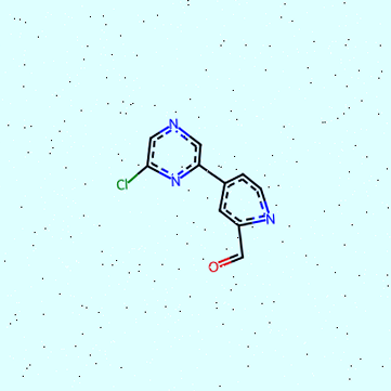 O=Cc1cc(-c2cncc(Cl)n2)ccn1